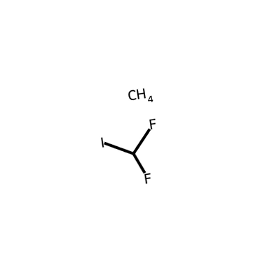 C.FC(F)I